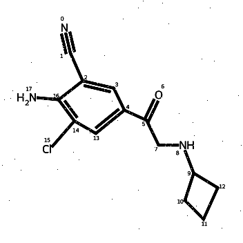 N#Cc1cc(C(=O)CNC2CCC2)cc(Cl)c1N